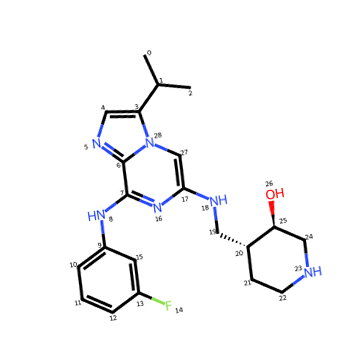 CC(C)c1cnc2c(Nc3cccc(F)c3)nc(NC[C@H]3CCNC[C@@H]3O)cn12